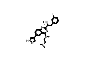 CN(C)CCN(C)c1nc([C@@H](N)Cc2cccc(F)c2)nc2ccc(-c3cn[nH]c3)cc12